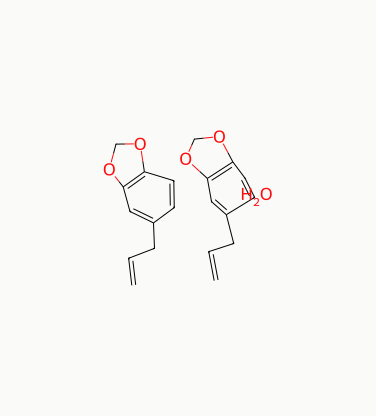 C=CCc1ccc2c(c1)OCO2.C=CCc1ccc2c(c1)OCO2.O